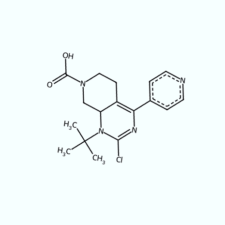 CC(C)(C)N1C(Cl)=NC(c2ccncc2)=C2CCN(C(=O)O)CC21